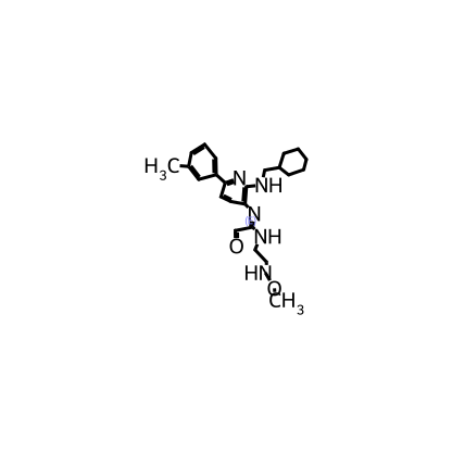 CONCCN/C(C=O)=N/c1ccc(-c2cccc(C)c2)nc1NCC1CCCCC1